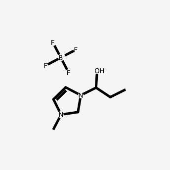 CCC(O)N1C=CN(C)C1.F[B-](F)(F)F